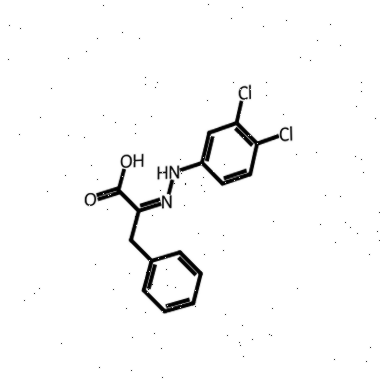 O=C(O)C(Cc1ccccc1)=NNc1ccc(Cl)c(Cl)c1